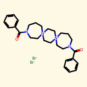 O=C(c1ccccc1)N1CCC[N+]2(CC1)CC[N+]1(CCCN(C(=O)c3ccccc3)CC1)CC2.[Br-].[Br-]